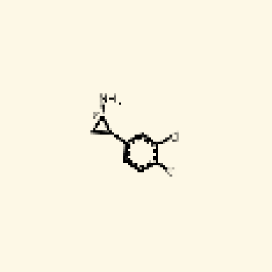 N[C@@H]1CC1c1ccc(Cl)c(Cl)c1